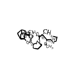 CO[C@@H]([C@@H]1CCCN1)[C@@H](C)C(=O)N1CCC[C@H]1B1OC2C3CC(C[C@]2(C)O1)C3(C)C